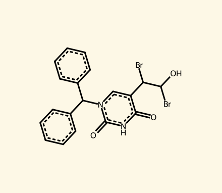 O=c1[nH]c(=O)n(C(c2ccccc2)c2ccccc2)cc1C(Br)C(O)Br